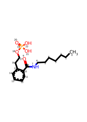 CCCCCCCNC(=O)c1ccccc1CCOP(=O)(O)O